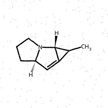 CC1C2=C[C@H]3CCCN3[C@@H]21